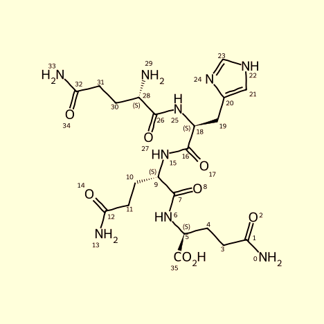 NC(=O)CC[C@H](NC(=O)[C@H](CCC(N)=O)NC(=O)[C@H](Cc1c[nH]cn1)NC(=O)[C@@H](N)CCC(N)=O)C(=O)O